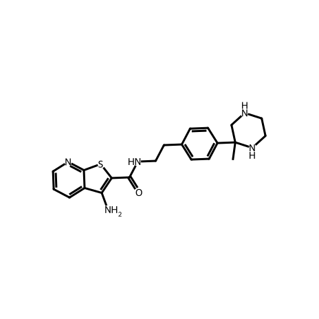 CC1(c2ccc(CCNC(=O)c3sc4ncccc4c3N)cc2)CNCCN1